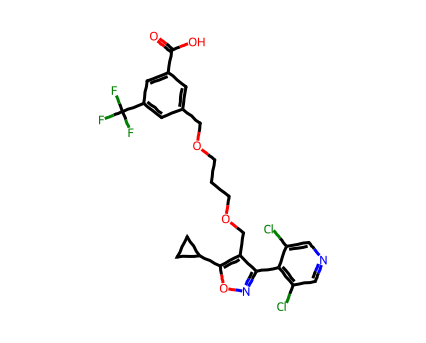 O=C(O)c1cc(COCCCOCc2c(-c3c(Cl)cncc3Cl)noc2C2CC2)cc(C(F)(F)F)c1